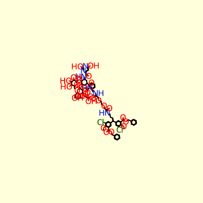 COc1c(Cl)cc(C(=CCCNC(=O)COCCOCC(=O)NCCNC(=O)C2CC(NC(=O)c3cc(O)nc(O)n3)C(OC3OC(C)C(O)C(O)C3O)C(OC3OC(CO)C(O)C(O[C@@H](CC4CCCCC4)C(=O)O)C3OC(=O)c3ccccc3)C2)c2cc(Cl)c(OC)c(C(=O)OCc3ccccc3)c2)cc1C(=O)OCc1ccccc1